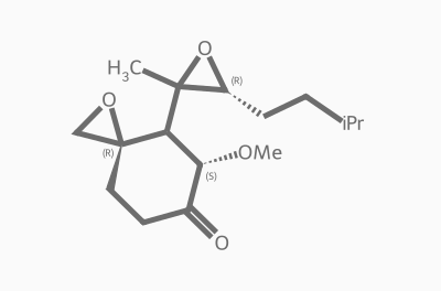 CO[C@@H]1C(=O)CC[C@]2(CO2)C1C1(C)O[C@@H]1CCC(C)C